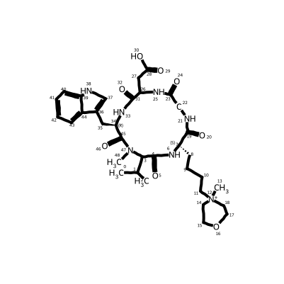 CC(C)C1C(=O)N[C@@H](CCCC[N+]2(C)CCOCC2)C(=O)NCC(=O)NC(CC(=O)O)C(=O)N[C@H](Cc2c[nH]c3ccccc23)C(=O)N1C